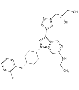 CCNc1cc2c(cn1)c(-c1cnn(C[C@@H](O)CO)c1)cn2[C@H]1CC[C@@H](Oc2ccccc2F)CC1